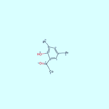 CC(C)c1cc([C](=O)[Co])c(O)c(C(C)C)c1